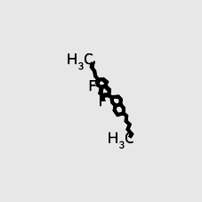 CC=CCCc1ccc2cc(C3CCC4CC(CCCCCC)CCC4C3)c(F)cc2c1F